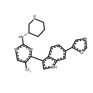 FC(F)(F)c1cnc(N[C@H]2CCCNC2)nc1-c1c[nH]c2cc(-c3cnco3)ccc12